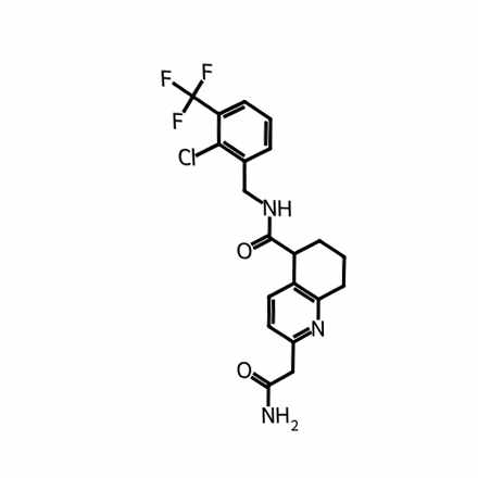 NC(=O)Cc1ccc2c(n1)CCCC2C(=O)NCc1cccc(C(F)(F)F)c1Cl